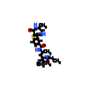 C=CC(=O)NC(/C=C(\C)NC(=O)c1ccc2sc3c(c2c1)NC[C@@H](C)NC3=O)=C(\C)N=C